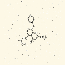 CC(O)COc1ccc(Cc2ccccc2)c2oc(C(=O)O)cc(=O)c12